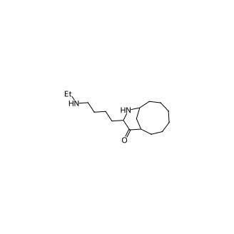 CCNCCCCC1NC2CCCCCCC(C2)C1=O